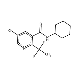 CC(F)(F)c1ncc(Cl)cc1C(=O)NC1CCCCC1